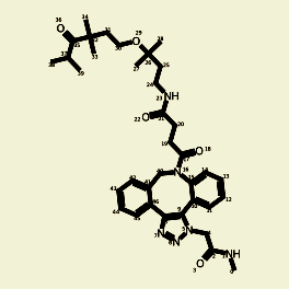 CNC(=O)Cn1nnc2c1-c1ccccc1N(C(=O)CCC(=O)NCCC(C)(C)OCCC(C)(C)C(=O)C(C)C)Cc1ccccc1-2